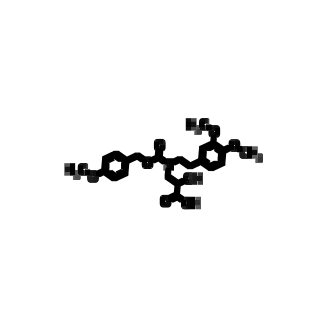 COc1ccc(COC(=O)N(CCc2ccc(OC)c(OC)c2)CC(O)C(=O)O)cc1